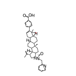 C=C(C)[C@@H]1CC[C@]2(C(=O)NCc3ccccn3)CC[C@@]3(C)C4CC[C@@H]5C(CC=C(c6ccc(C(=O)O)cc6)C5(C)C)[C@H]4CCC3[C@@H]12